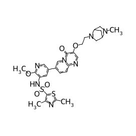 COc1ncc(-c2ccc3ncc(OCCN4CC5CC4CN5C)c(=O)n3c2)cc1NS(=O)(=O)c1sc(C)nc1C